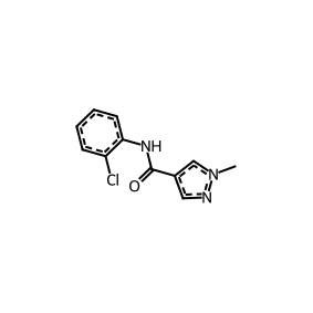 Cn1cc(C(=O)Nc2ccccc2Cl)cn1